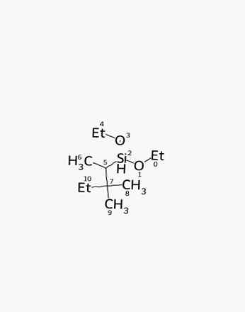 CCO[SiH](OCC)C(C)C(C)(C)CC